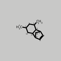 CC1CC(C)C2C3C=CC(C3)C2C1